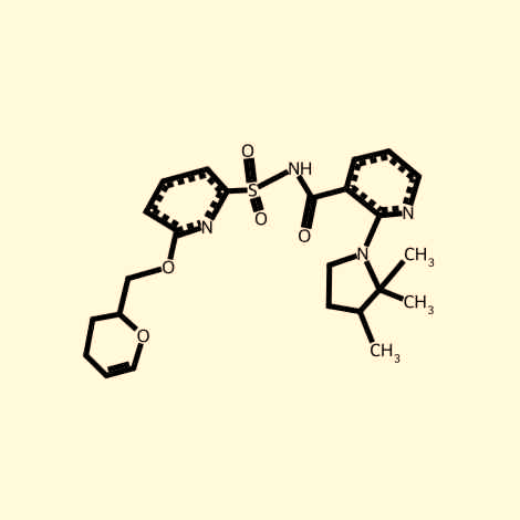 CC1CCN(c2ncccc2C(=O)NS(=O)(=O)c2cccc(OCC3CCC=CO3)n2)C1(C)C